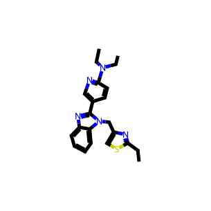 CCc1nc(Cn2c(-c3ccc(N(CC)CC)nc3)nc3ccccc32)cs1